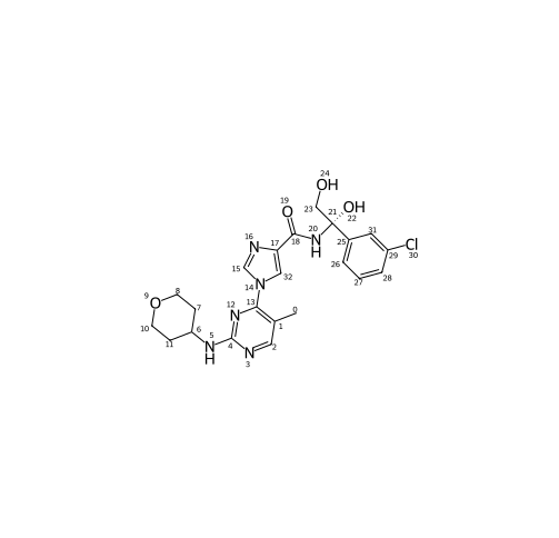 Cc1cnc(NC2CCOCC2)nc1-n1cnc(C(=O)N[C@@](O)(CO)c2cccc(Cl)c2)c1